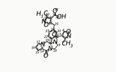 Cc1nocc1C(=O)N1CCN2C(=O)c3cccn3CC12c1ccc(Cc2onc(C)c2C(=O)O)cc1